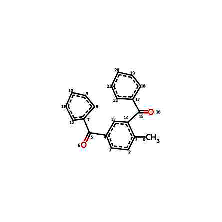 Cc1ccc(C(=O)c2ccccc2)cc1C(=O)c1ccccc1